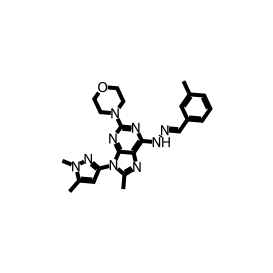 Cc1cccc(C=NNc2nc(N3CCOCC3)nc3c2nc(C)n3-c2cc(C)n(C)n2)c1